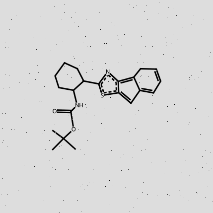 CC(C)(C)OC(=O)NC1CCCCC1c1nc2c(s1)=CC1=CC=CCC=21